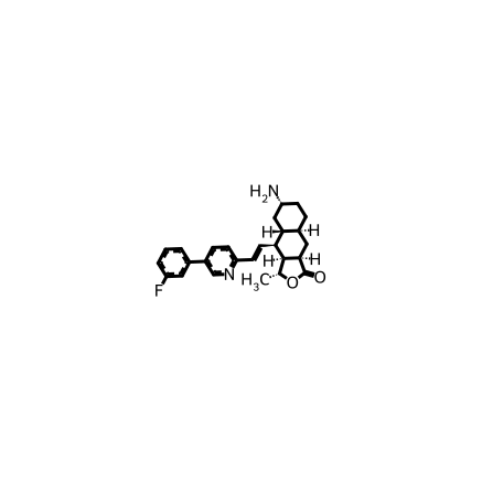 C[C@H]1OC(=O)[C@@H]2C[C@@H]3CC[C@@H](N)C[C@H]3[C@H](/C=C/c3ccc(-c4cccc(F)c4)cn3)[C@H]12